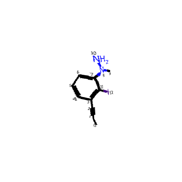 CC#Cc1cccc(N(C)N)c1I